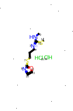 CN/C(=N/CCCSc1ncco1)SC.Cl.Cl